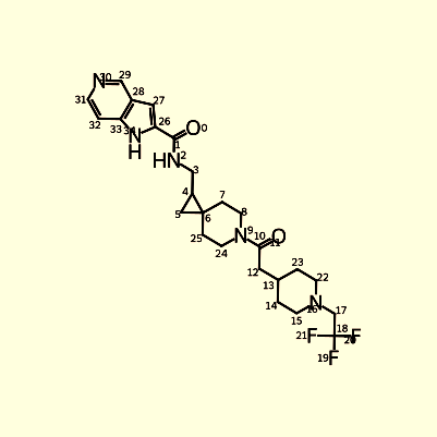 O=C(NCC1CC12CCN(C(=O)CC1CCN(CC(F)(F)F)CC1)CC2)c1cc2cnccc2[nH]1